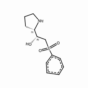 O=S(=O)(C[C@H](O)[C@@H]1CCCN1)c1ccccc1